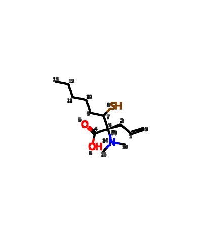 C=CC[C@@](C(=O)O)(C(S)CCCCC)N(C)C